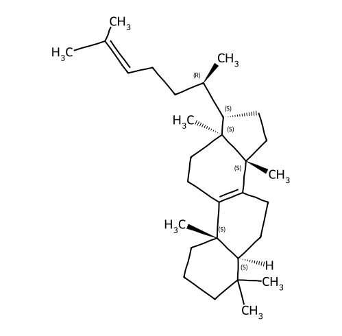 CC(C)=CCC[C@@H](C)[C@@H]1CC[C@]2(C)C3=C(CC[C@@]12C)[C@@]1(C)CCCC(C)(C)[C@@H]1CC3